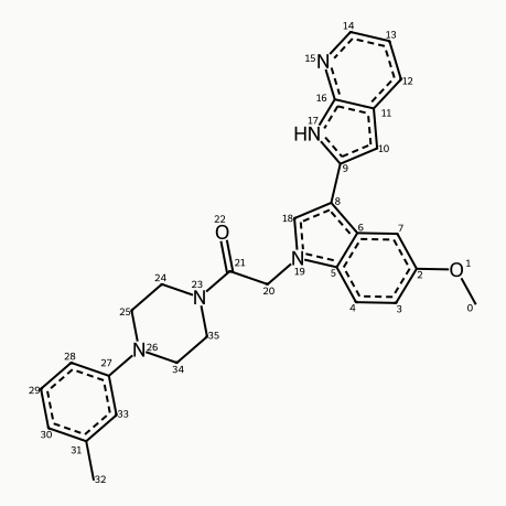 COc1ccc2c(c1)c(-c1cc3cccnc3[nH]1)cn2CC(=O)N1CCN(c2cccc(C)c2)CC1